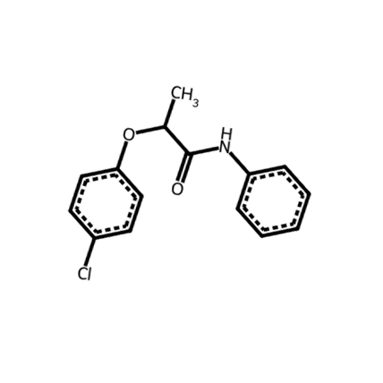 CC(Oc1ccc(Cl)cc1)C(=O)Nc1ccccc1